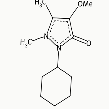 COc1c(C)n(C)n(C2CCCCC2)c1=O